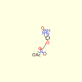 CC(=O)OC(C)N(C(=O)CCCCOc1ccc2c(c1)CN1CC(=O)NC1=N2)C1CCCC1